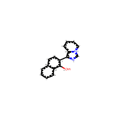 Oc1c(-c2ncn3ccccc23)ccc2ccccc12